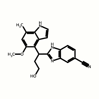 COc1cc(C)c2[nH]ccc2c1C(CCO)c1nc2cc(C#N)ccc2[nH]1